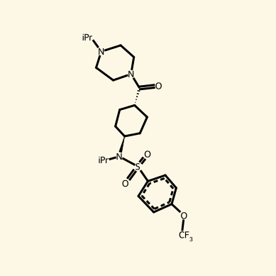 CC(C)N1CCN(C(=O)[C@H]2CC[C@H](N(C(C)C)S(=O)(=O)c3ccc(OC(F)(F)F)cc3)CC2)CC1